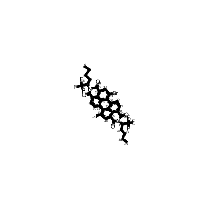 CCCCC(N1C(=O)c2ccc3c4c(I)cc5c6c(ccc(c7c(Br)cc(c2c37)C1=O)c64)C(=O)N(C(CCCC)C(F)(F)F)C5=O)C(F)(F)F